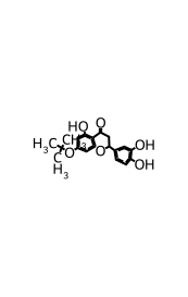 CC(C)(C)Oc1cc(O)c2c(c1)OC(c1ccc(O)c(O)c1)CC2=O